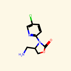 NCC1COC(=O)N1c1ccc(Cl)cn1